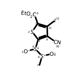 CCOC(=O)c1sc([S+]([O-])[S+](C)[O-])c(C#N)c1I